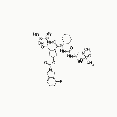 CCC[C@H](NC(=O)C1CC(OC(=O)N2Cc3cccc(F)c3C2)CN1C(=O)[C@@H](NC(=O)N[C@H](CN(C)S(C)(=O)=O)C(C)C)C1CCCCC1)B(O)O